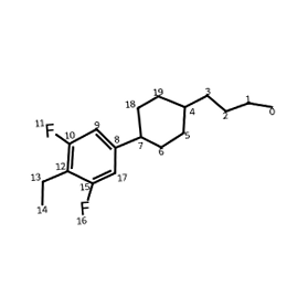 CCCCC1CCC(c2cc(F)c(CC)c(F)c2)CC1